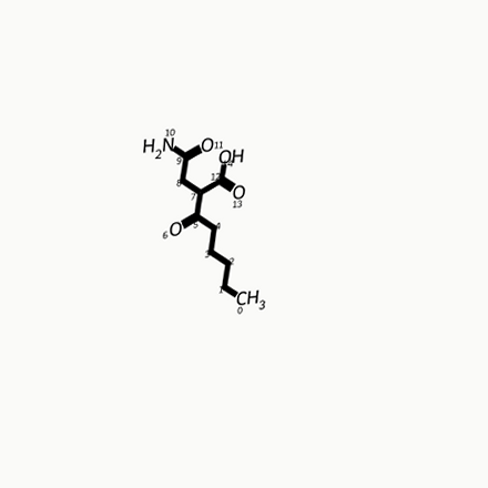 CCCCCC(=O)C(CC(N)=O)C(=O)O